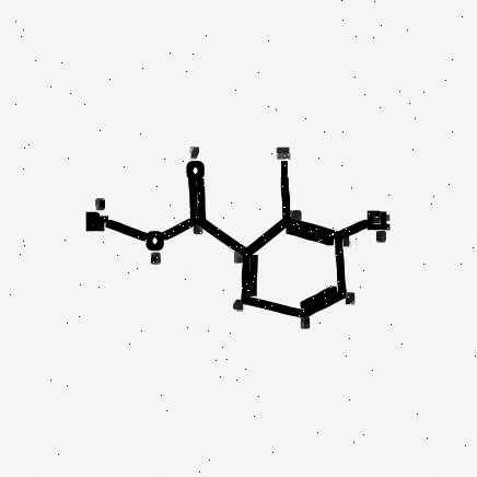 CCc1cccc(C(=O)OBr)c1I